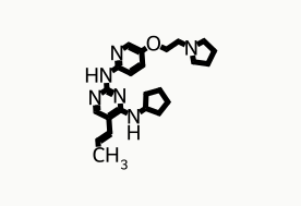 C/C=C/c1cnc(Nc2ccc(OCCN3CCCC3)cn2)nc1NC1CCCC1